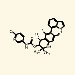 C[C@H]1c2c(cc(F)c(-c3cccc4cc[nH]c34)c2F)NC(C)(C)C1OC(=O)Nc1ccc(Cl)nc1